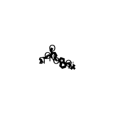 CC(C)(C)[Si](C)(C)Oc1cccc2c1CC[C@@H]2Oc1ccc(C=O)c(OCC[Si](C)(C)C)n1